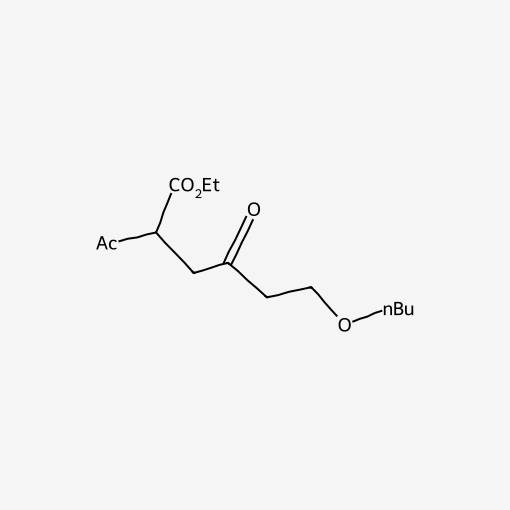 CCCCOCCC(=O)CC(C(C)=O)C(=O)OCC